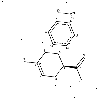 C=C(C)[C@H]1CC=C(C)CC1.CCCC.c1ccccc1